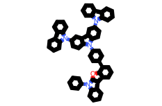 c1ccc(-n2c3ccccc3c3c4cccc(-c5ccc(-n6c7ccc(-n8c9ccccc9c9ccccc98)cc7c7cc(-n8c9ccccc9c9ccccc98)ccc76)cc5)c4oc32)cc1